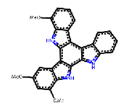 COc1cc(OC)c2[nH]c3c4[nH]c5ccccc5c4c4c5cccc(OC)c5[nH]c4c3c2c1